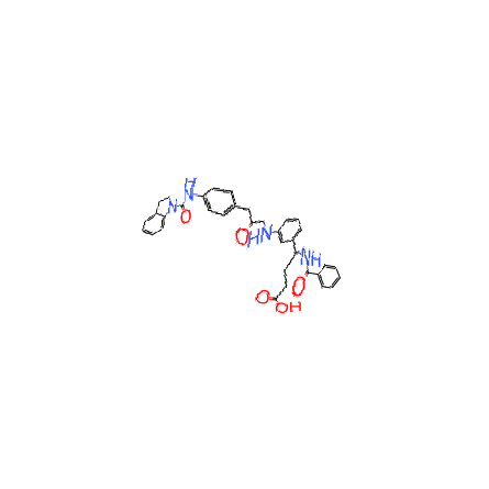 O=C(O)CCC(NC(=O)c1ccccc1)c1cccc(NCC(=O)Cc2ccc(NC(=O)N3CCc4ccccc43)cc2)c1